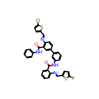 O=C(Nc1cccc(-c2ccc(/N=C/c3ccc(Cl)s3)c(C(=O)Nc3ccccc3)c2)c1)c1ccccc1/N=C/c1ccc(F)s1